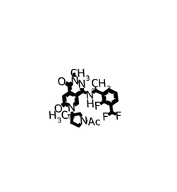 CC(=O)N1CC[C@@](C)(n2cc3c(N[C@H](C)c4cccc(C(F)F)c4F)nn(C)c(=O)c3cc2=O)C1